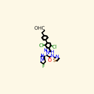 O=CCCc1ccc(-c2cc(Cl)c3cn([C@@H](C(=O)Nc4nccs4)c4ncn5c4C[C@@H](F)C5)nc3c2Cl)cc1